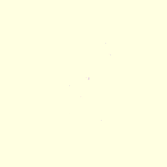 O=C(Nc1nc2cccc(Cl)c2n1[C@@H]1CCCCNC1)c1ccnnc1